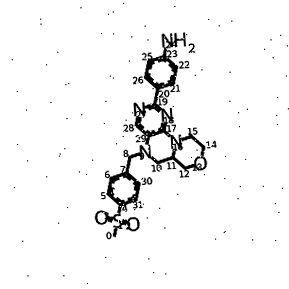 CS(=O)(=O)c1ccc(CN2CC3COCCN3c3nc(-c4ccc(N)cc4)ncc32)cc1